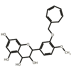 COc1ccc(C2Oc3cc(O)cc(O)c3C(O)C2O)cc1OCC1=CC=CC=CC1